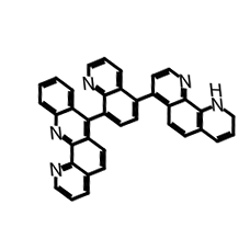 C1=Cc2ccc3c(-c4ccc(-c5c6ccccc6nc6c5ccc5cccnc56)c5ncccc45)ccnc3c2NC1